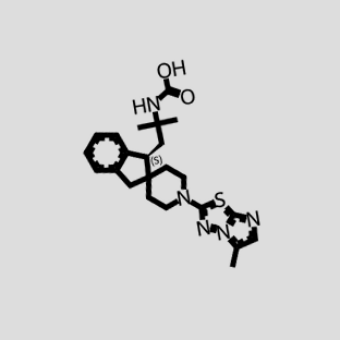 Cc1cnc2sc(N3CCC4(CC3)Cc3ccccc3[C@H]4CC(C)(C)NC(=O)O)nn12